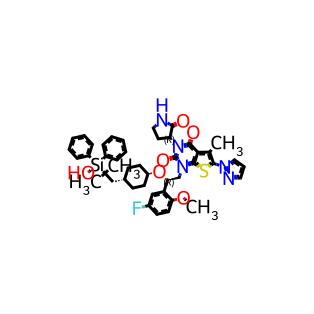 COc1ccc(F)cc1[C@H](Cn1c(=O)n([C@@H]2CCNC2=O)c(=O)c2c(C)c(-n3cccn3)sc21)O[C@H]1CC[C@@H](CC(C)(C)[Si](O)(c2ccccc2)c2ccccc2)CC1